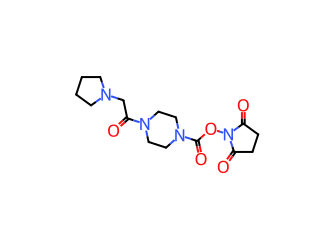 O=C(CN1CCCC1)N1CCN(C(=O)ON2C(=O)CCC2=O)CC1